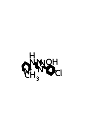 CN1CCCC(Nc2cnc(-c3ccc(Cl)cc3O)nn2)C1